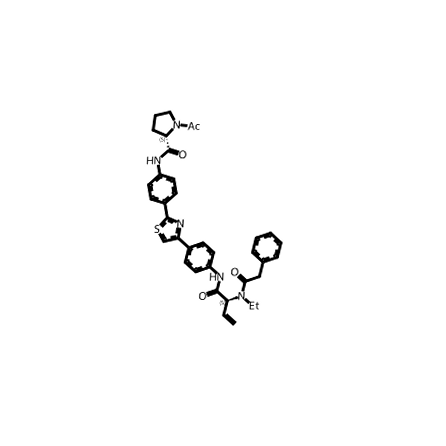 C=C[C@@H](C(=O)Nc1ccc(-c2csc(-c3ccc(NC(=O)[C@@H]4CCCN4C(C)=O)cc3)n2)cc1)N(CC)C(=O)Cc1ccccc1